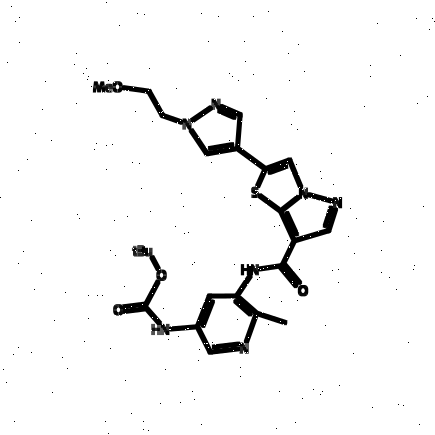 COCCn1cc(-c2cn3ncc(C(=O)Nc4cc(NC(=O)OC(C)(C)C)cnc4C)c3s2)cn1